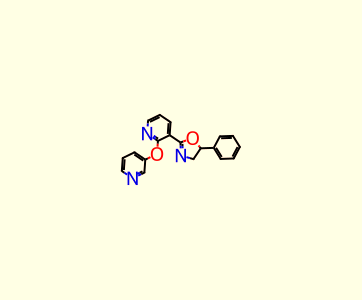 c1ccc(C2CN=C(c3cccnc3Oc3cccnc3)O2)cc1